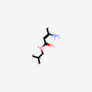 CC(N)=CC(=O)OCC(C)C